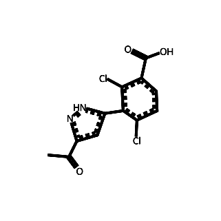 CC(=O)c1cc(-c2c(Cl)ccc(C(=O)O)c2Cl)[nH]n1